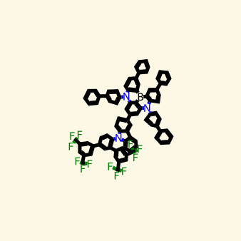 FC(F)(F)c1cc(-c2ccc(-n3c4ccccc4c4cc(-c5cc6c7c(c5)N(c5ccc(-c8ccccc8)cc5)c5ccc(-c8ccccc8)cc5B7c5cc(-c7ccccc7)ccc5N6c5ccc(-c6ccccc6)cc5)ccc43)c(-c3cc(C(F)(F)F)cc(C(F)(F)F)c3)c2)cc(C(F)(F)F)c1